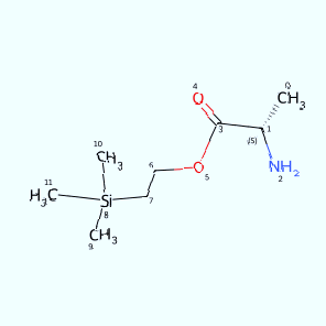 C[C@H](N)C(=O)OCC[Si](C)(C)C